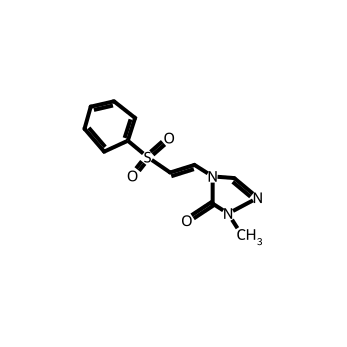 Cn1ncn(/C=C/S(=O)(=O)c2ccccc2)c1=O